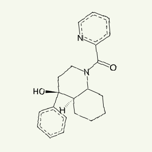 O=C(c1ccccn1)N1CC[C@@](O)(c2ccccc2)[C@@H]2CCCCC21